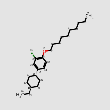 CCCCCCCCCCOc1ccc([C@H]2CC[C@H](CC)CC2)cc1F